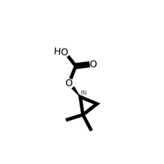 CC1(C)C[C@@H]1OC(=O)O